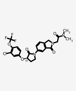 CN(C)C(=O)CN1Cc2ccc(N3CC[C@@H](Oc4ccc(OC(F)(F)F)c(Cl)c4)C3=O)cc2C1=O